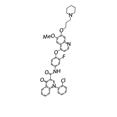 COc1cc2c(Oc3ccc(NC(=O)c4cn(-c5ccccc5Cl)c5ccccc5c4=O)cc3F)ccnc2cc1OCCCN1CCCCC1